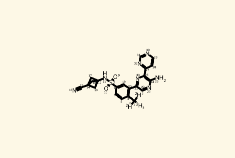 [2H]C([2H])([2H])c1ccc(S(=O)(=O)NC23CC(C#N)(C2)C3)cc1-c1cnc(N)c(-c2ccncn2)n1